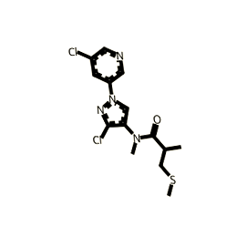 CSCC(C)C(=O)N(C)c1cn(-c2cncc(Cl)c2)nc1Cl